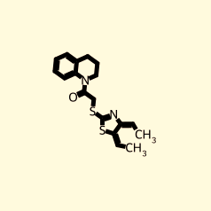 C/C=c1/nc(SCC(=O)N2CCCc3ccccc32)s/c1=C/C